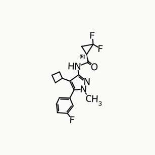 Cn1nc(NC(=O)[C@H]2CC2(F)F)c(C2CCC2)c1-c1cccc(F)c1